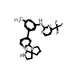 Cc1cc(Nc2nccc(C(F)(F)F)n2)cc(-c2ccnc(N3CCCC34CCNC4=O)c2)c1